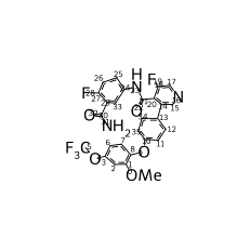 COc1cc(OC(F)(F)F)ccc1Oc1ccc(-c2cncc(F)c2C(=O)Nc2ccc(F)c(C(N)=O)c2)cc1